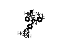 N#CC1(NC(=O)[C@@H]2CCCC[C@H]2c2oc(-c3ccc(F)c(Cl)c3)nc2-c2ccc(N3CCS(O)(O)CC3)cc2)CC1